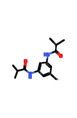 [CH2]c1cc(NC(=O)C(C)C)cc(NC(=O)C(C)C)c1